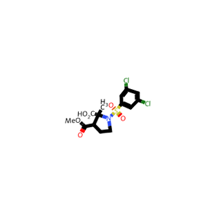 COC(=O)C1CCN(S(=O)(=O)c2cc(Cl)cc(Cl)c2)C1(C)C(=O)O